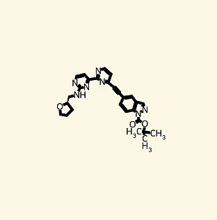 CC(C)(C)OC(=O)n1ncc2cc(C#Cc3ccnc(-c4ccnc(NC[C@H]5CCCO5)n4)n3)ccc21